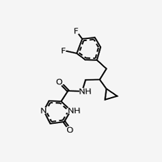 O=C(NCC(Cc1ccc(F)c(F)c1)C1CC1)c1cncc(=O)[nH]1